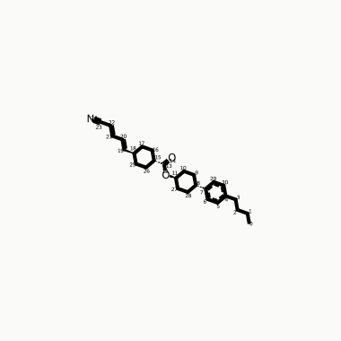 CCCCc1ccc([C@H]2CC[C@H](OC(=O)[C@H]3CC[C@H](C=CC=CC#N)CC3)CC2)cc1